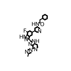 Cc1cn(-c2nccc3[nH]c(-c4n[nH]c5c(F)cc(-c6cncc(NC(=O)Cc7ccccc7)c6)cc45)nc23)cn1